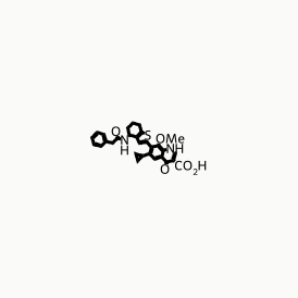 COc1c(-c2cc3c(s2)CCCC3NC(=O)Cc2ccccc2)c(C2CC2)cc2c(=O)c(C(=O)O)c[nH]c12